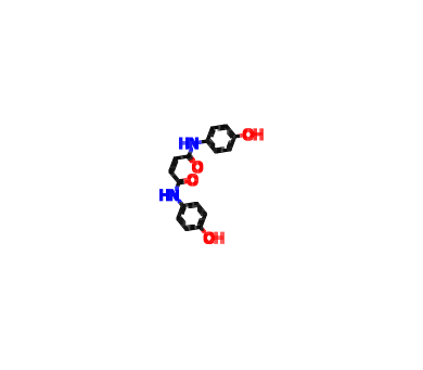 O=C(/C=C\C(=O)Nc1ccc(O)cc1)Nc1ccc(O)cc1